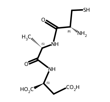 C[C@H](NC(=O)[C@@H](N)CS)C(=O)N[C@@H](CC(=O)O)C(=O)O